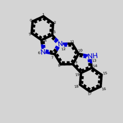 c1ccc2c(c1)nc1cc3c(cn12)[nH]c1ccccc13